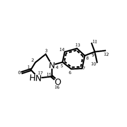 C=C1CCN(c2ccc(C(C)(C)C)cc2)C(=O)N1